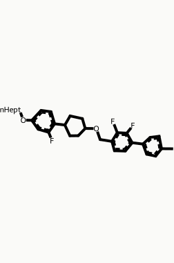 CCCCCCCOc1ccc(C2CCC(OCc3ccc(-c4ccc(C)cc4)c(F)c3F)CC2)c(F)c1